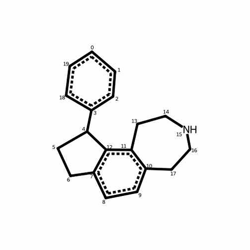 c1ccc(C2CCc3ccc4c(c32)CCNCC4)cc1